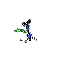 CCCn1c(CC)nc2cc(C(Cl)CN3CCN(C(c4ccccc4)c4ccccc4)CC3)ccc21.Cl.Cl.Cl